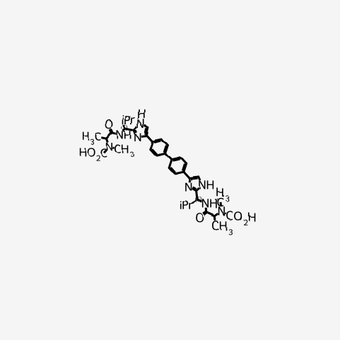 CC(C)[C@H](NC(=O)C(C)N(C)C(=O)O)c1nc(-c2ccc(-c3ccc(-c4c[nH]c([C@@H](NC(=O)C(C)N(C)C(=O)O)C(C)C)n4)cc3)cc2)c[nH]1